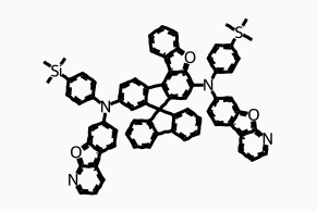 C[Si](C)(C)c1ccc(N(c2ccc3c(c2)C2(c4ccccc4-c4ccccc42)c2cc(N(c4ccc(S(C)(C)C)cc4)c4ccc5c(c4)oc4ncccc45)c4oc5ccccc5c4c2-3)c2ccc3c(c2)oc2ncccc23)cc1